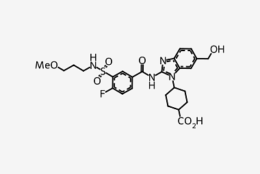 COCCCNS(=O)(=O)c1cc(C(=O)Nc2nc3ccc(CO)cc3n2C2CCC(C(=O)O)CC2)ccc1F